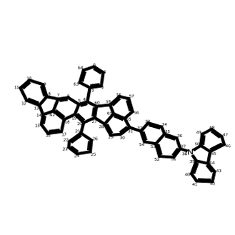 c1ccc(-c2c3cc4c5ccccc5c5cccc(c3c(-c3ccccc3)c3c6ccc(-c7ccc8cc(-n9c%10ccccc%10c%10ccccc%109)ccc8c7)c7cccc(c23)c76)c54)cc1